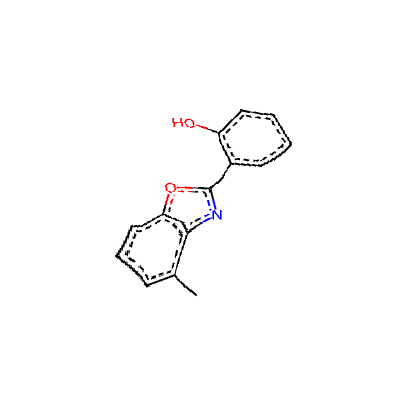 Cc1cccc2oc(-c3ccccc3O)nc12